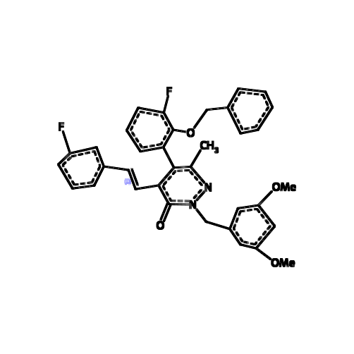 COc1cc(Cn2nc(C)c(-c3cccc(F)c3OCc3ccccc3)c(/C=C/c3cccc(F)c3)c2=O)cc(OC)c1